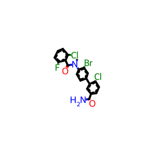 CN(C(=O)c1c(F)cccc1Cl)c1ccc(-c2cc(C(N)=O)ccc2Cl)cc1Br